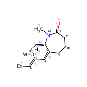 C\C=C1/C(=C\C(=C\CC)OC)CCCC(=O)N1C